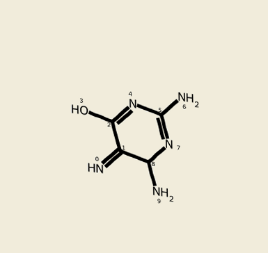 N=C1C(O)=NC(N)=NC1N